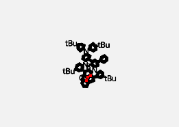 CC(C)(C)c1ccc(N2B3c4cc5oc6ccccc6c5cc4N(c4ccc(C(C)(C)C)cc4-c4ccccc4)c4cc(-c5ccccc5)cc(c43)-c3cc(N(c4ccc(C(C)(C)C)cc4)c4ccc(C(C)(C)C)cc4)ccc32)cc1